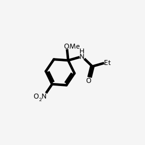 CCC(=O)NC1(OC)C=CC([N+](=O)[O-])=CC1